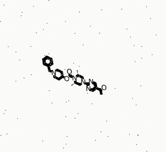 CC(=O)c1cnc(N2C[C@@H](C)N(C(=O)OC3CCN(Cc4ccccc4)CC3)[C@@H](C)C2)nc1